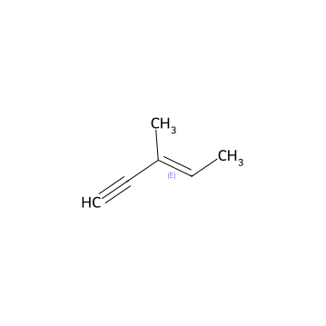 C#C/C(C)=C/C